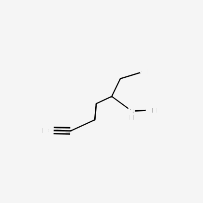 C#CCCC(C[CH2])NC